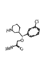 CNC(=O)CO[C@@H](c1cccc(Cl)c1)[C@@H]1CCCNC1